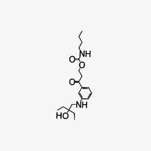 CCCCNC(=O)OCCC(=O)c1cccc(NCC(O)(CC)CC)c1